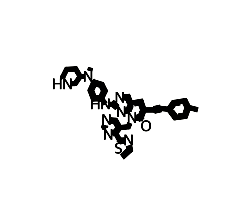 Cc1ccc(C#Cc2cc3cnc(Nc4ccc(N(C)C5CCCNC5)cc4)nc3n(Cc3cncnc3-c3nccs3)c2=O)cc1